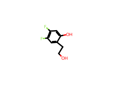 OCCc1cc(F)c(F)cc1O